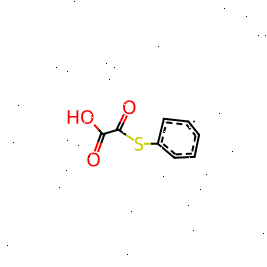 O=C(O)C(=O)Sc1c[c]ccc1